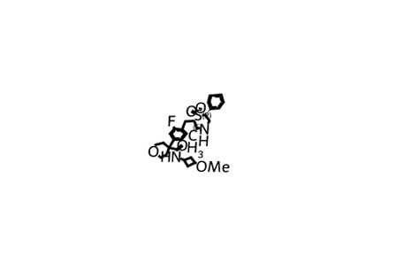 COC1CC(NC(=O)C2(c3ccc(CC4[C@H](C)NC[C@@H](c5ccccc5)S4(=O)=O)c(F)c3)CCOCC2)C1